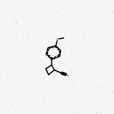 COc1ccc(C2CCC2C#N)cc1